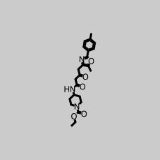 CCOC(=O)N1CCC(NC(=O)CC(=O)Cc2nc(-c3ccc(C)cc3)oc2C)CC1